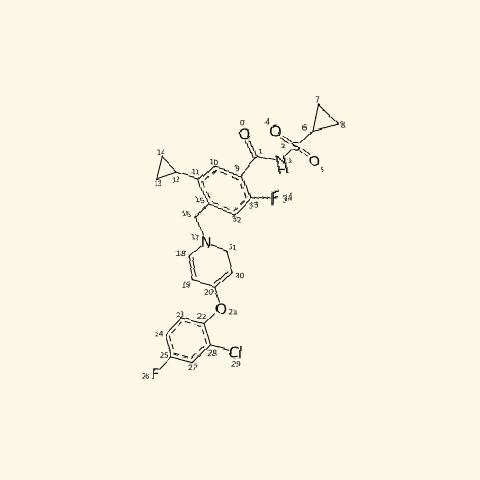 O=C(NS(=O)(=O)C1CC1)c1cc(C2CC2)c(CN2C=CC(Oc3ccc(F)cc3Cl)=CC2)cc1F